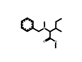 CCC(C)C(C(=O)OC)N(C)Cc1ccccc1